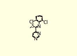 CSC(=Nc1c(Cl)cccc1Cl)c1ccncn1